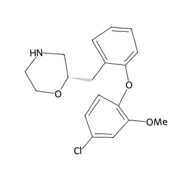 COc1cc(Cl)ccc1Oc1ccccc1C[C@H]1CNCCO1